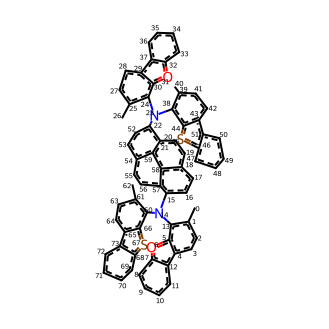 Cc1ccc2c(oc3ccccc32)c1N(c1ccc2ccc3c(N(c4c(C)ccc5c4oc4ccccc45)c4c(C)ccc5c4sc4ccccc45)ccc4ccc1c2c43)c1c(C)ccc2c1sc1ccccc12